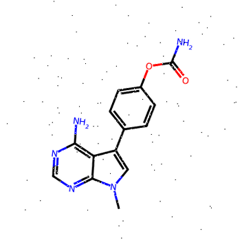 Cn1cc(-c2ccc(OC(N)=O)cc2)c2c(N)ncnc21